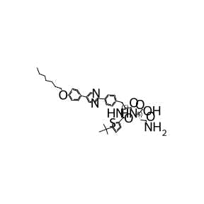 CCCCCCCOc1ccc(-c2cnc(-c3ccc(C[C@H](NC(=O)c4ccc(C(C)(C)C)s4)C(=O)N[C@@H](CC(N)=O)C(=O)O)cc3)nc2)cc1